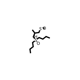 CCCC[SH](=O)(CCCC)CC(C)C[S+]=O